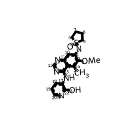 COc1c(N=S2(=O)CCCC2)cc2ncnc(Nc3cccnc3O)c2c1C